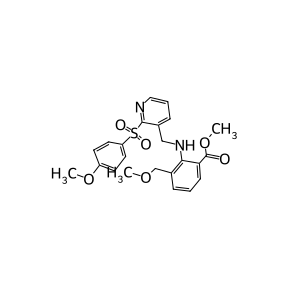 COCc1cccc(C(=O)OC)c1NCc1cccnc1S(=O)(=O)c1ccc(OC)cc1